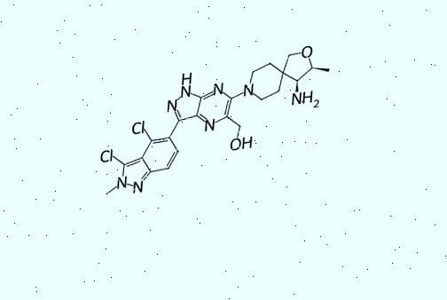 C[C@@H]1OCC2(CCN(c3nc4[nH]nc(-c5ccc6nn(C)c(Cl)c6c5Cl)c4nc3CO)CC2)[C@@H]1N